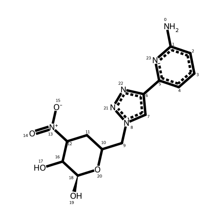 Nc1cccc(-c2cn(CC3CC([N+](=O)[O-])C(O)[C@H](O)O3)nn2)n1